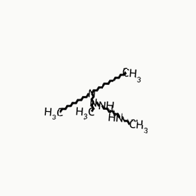 CCCCCCCCCCCCCN(CCCCCCCCCCCC)CCN(CCC)CCNCCCCCCNCCCCC